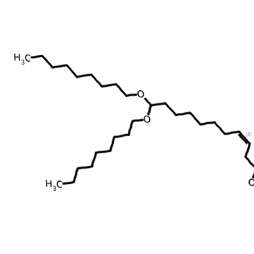 CCCCCCCCCOC(CCCCCC/C=C\CCO)OCCCCCCCCC